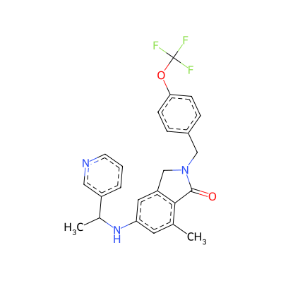 Cc1cc(NC(C)c2cccnc2)cc2c1C(=O)N(Cc1ccc(OC(F)(F)F)cc1)C2